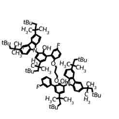 CC(C)(C)CC(C)(C)C1=CC(n2c3ccc(C(C)(C)CC(C)(C)C)cc3c3cc(C(C)(C)CC(C)(C)C)ccc32)C(O)(OCCCOc2ccc(F)cc2-c2cc(C(C)(C)CC(C)(C)C)cc(-n3c4ccc(C(C)(C)CC(C)(C)C)cc4c4cc(C(C)(C)CC(C)(C)C)ccc43)c2O)C(c2cccc(F)c2)=C1